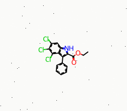 CCOC(=O)c1[nH]c2cc(Cl)c(Cl)c(Cl)c2c1-c1ccccc1